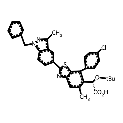 Cc1cc2nc(-c3ccc4c(c3)c(C)nn4Cc3ccccc3)sc2c(-c2ccc(Cl)cc2)c1[C@H](OC(C)(C)C)C(=O)O